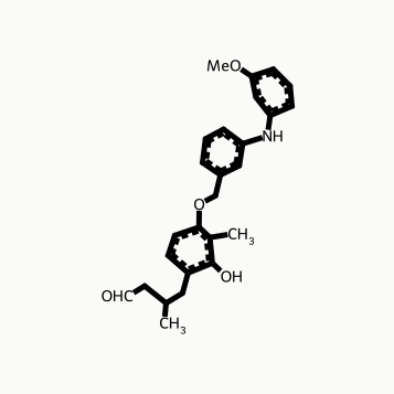 COc1cccc(Nc2cccc(COc3ccc(CC(C)CC=O)c(O)c3C)c2)c1